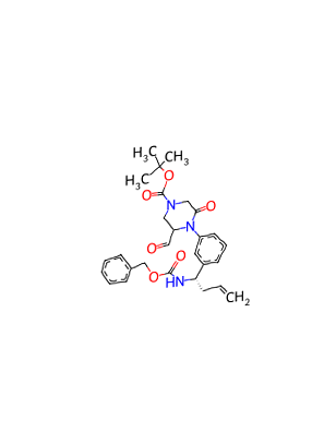 C=CC[C@H](NC(=O)OCc1ccccc1)c1cccc(N2C(=O)CN(C(=O)OC(C)(C)C)CC2C=O)c1